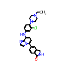 CCN1CCN(c2ccc(Nc3ccc(-c4ccc5c(c4)CNC5=O)n4ccnc34)cc2Cl)CC1